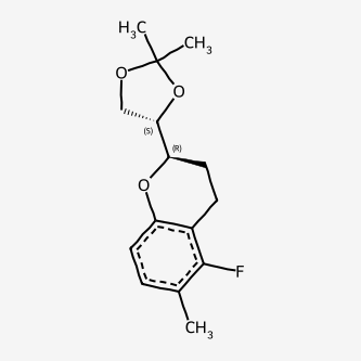 Cc1ccc2c(c1F)CC[C@H]([C@@H]1COC(C)(C)O1)O2